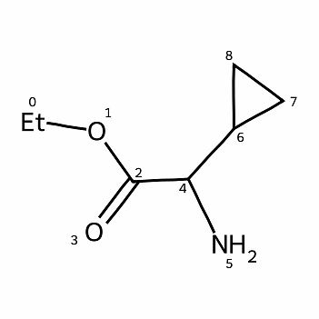 CCOC(=O)C(N)C1CC1